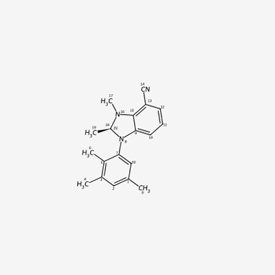 Cc1cc(C)c(C)c(N2c3cccc(C#N)c3N(C)[C@@H]2C)c1